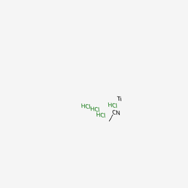 CC#N.Cl.Cl.Cl.Cl.[Ti]